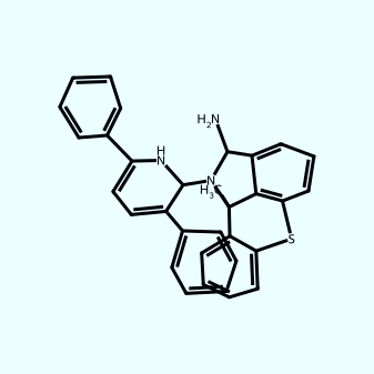 CC12c3ccccc3Sc3cccc(c31)C(N)N2C1NC(c2ccccc2)=CC=C1c1ccccc1